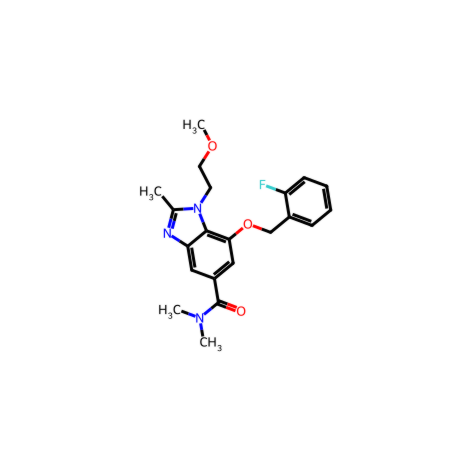 COCCn1c(C)nc2cc(C(=O)N(C)C)cc(OCc3ccccc3F)c21